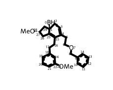 B[C@@]12CC=C(CCOCc3ccccc3)C(CCc3cccc(OC)c3)=C1C[C@H](OC)C2